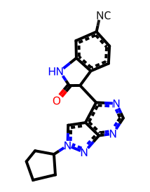 [C-]#[N+]c1ccc2c(c1)NC(=O)C2c1ncnc2nn(C3CCCC3)cc12